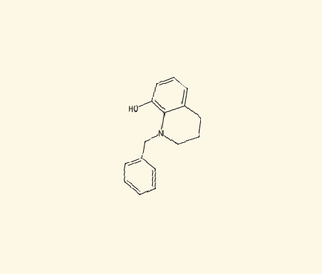 Oc1cccc2c1N(Cc1ccccc1)CCC2